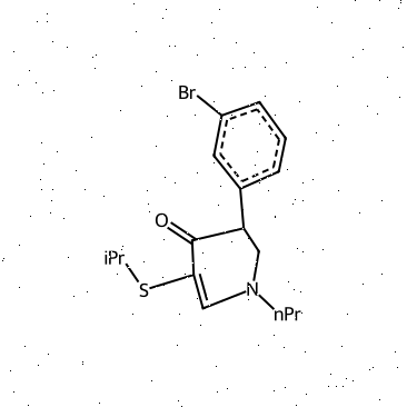 CCCN1C=C(SC(C)C)C(=O)C(c2cccc(Br)c2)C1